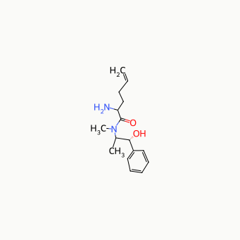 C=CCCC(N)C(=O)N(C)C(C)[C@H](O)c1ccccc1